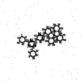 c1ccc(-c2nc(-c3ccccc3)nc(-c3cnc(-c4cccc5c4-c4ccccc4C54c5ccccc5-c5ccccc54)nc3)n2)cc1